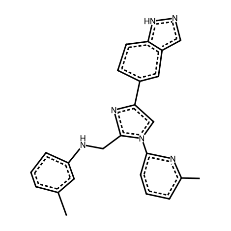 Cc1cccc(NCc2nc(-c3ccc4[nH]ncc4c3)cn2-c2cccc(C)n2)c1